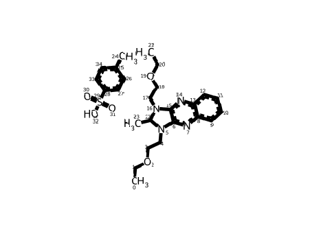 CCOCCN1c2nc3ccccc3nc2N(CCOCC)C1C.Cc1ccc(S(=O)(=O)O)cc1